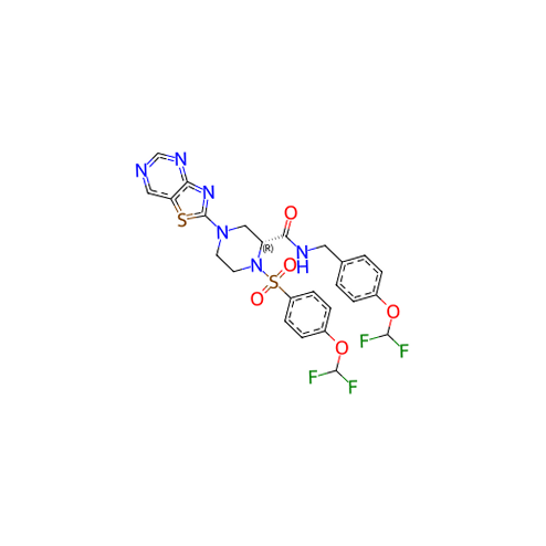 O=C(NCc1ccc(OC(F)F)cc1)[C@H]1CN(c2nc3ncncc3s2)CCN1S(=O)(=O)c1ccc(OC(F)F)cc1